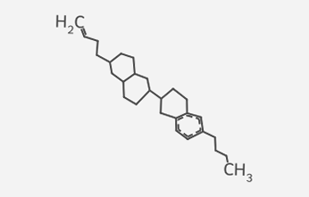 C=CCCC1CCC2CC(C3CCc4cc(CCCC)ccc4C3)CCC2C1